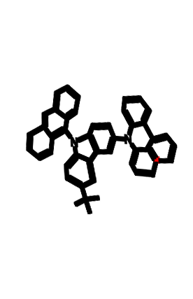 CC(C)(C)c1ccc2c(c1)c1cc(N(c3ccccc3)c3ccccc3-c3ccccc3)ccc1n2-c1c2ccccc2cc2ccccc12